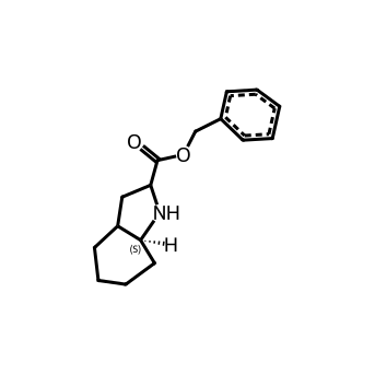 O=C(OCc1ccccc1)C1CC2CCCC[C@@H]2N1